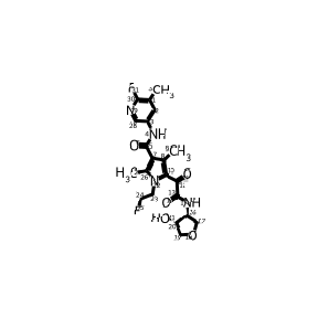 Cc1cc(NC(=O)c2c(C)c(C(=O)C(=O)N[C@H]3COC[C@@H]3O)n(CCF)c2C)cnc1F